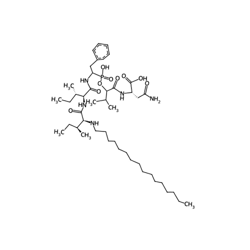 CCCCCCCCCCCCCCCCN[C@H](C(=O)N[C@H](C(=O)NC(Cc1ccccc1)P(=O)(O)OC(C(=O)N[C@@H](CC(N)=O)C(=O)O)C(C)C)[C@@H](C)CC)[C@@H](C)CC